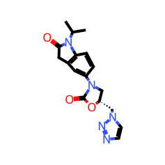 CC(C)N1C(=O)Cc2cc(N3C[C@H](Cn4ccnn4)OC3=O)ccc21